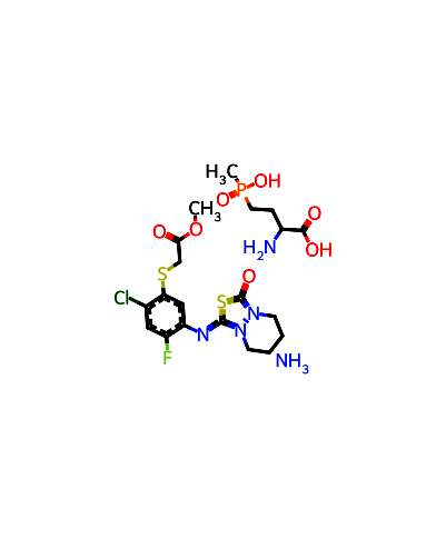 COC(=O)CSc1cc(/N=c2\sc(=O)n3n2CCCC3)c(F)cc1Cl.CP(=O)(O)CCC(N)C(=O)O.N